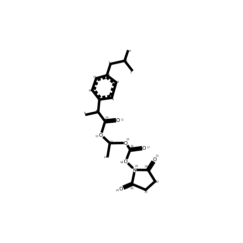 CC(C)Cc1ccc(C(C)C(=O)OC(C)OC(=O)ON2C(=O)CCC2=O)cc1